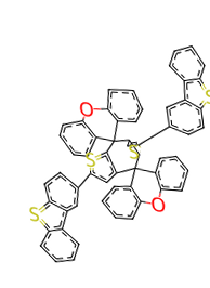 c1ccc2c(c1)Oc1ccccc1C21c2cc(-c3ccc4sc5ccccc5c4c3)sc2C2(c3ccccc3Oc3ccccc32)c2cc(-c3ccc4sc5ccccc5c4c3)sc21